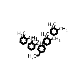 C=Cc1ccccc1.Cc1ccccc1C.Cc1ccccc1C.Cc1ccccc1C.Cc1ccccc1C